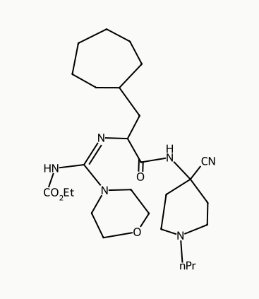 CCCN1CCC(C#N)(NC(=O)C(CC2CCCCCC2)/N=C(/NC(=O)OCC)N2CCOCC2)CC1